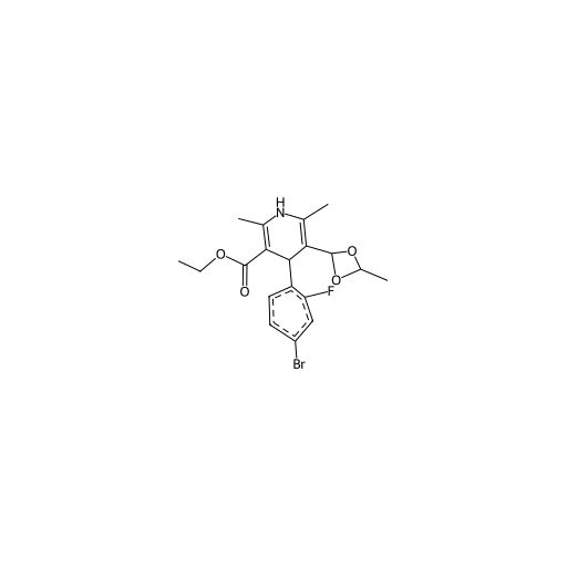 CCOC(=O)C1=C(C)NC(C)=C(C2OC(C)O2)C1c1ccc(Br)cc1F